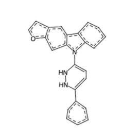 C1=C(c2ccccc2)NNC(n2c3ccccc3c3cc4ccoc4cc32)=C1